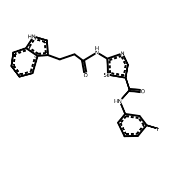 O=C(CCc1c[nH]c2ccccc12)Nc1ncc(C(=O)Nc2cccc(F)c2)[se]1